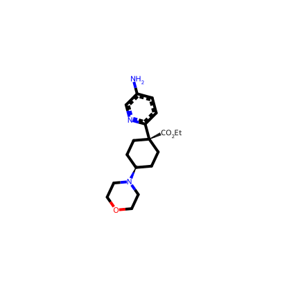 CCOC(=O)[C@]1(c2ccc(N)cn2)CC[C@H](N2CCOCC2)CC1